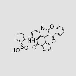 Cn1c(=O)c(C(=O)c2ccccc2)c2c3c(c(Nc4ccccc4S(=O)O)ccc31)C(=O)c1ccccc1-2